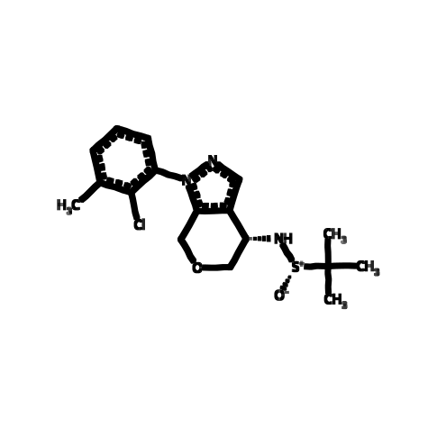 Cc1cccc(-n2ncc3c2COC[C@H]3N[S@@+]([O-])C(C)(C)C)c1Cl